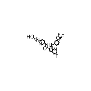 O=C(Nc1ccc(N2CC(O)C2)nc1)c1cc2cc(F)cnc2n1Cc1cccc(OC(F)(F)F)c1